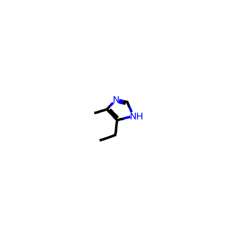 CCc1[nH]cnc1C